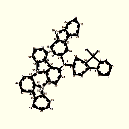 CC1(C)c2ccccc2-c2ccc(N(c3ccc4oc5ccccc5c4c3)c3ccc4c5c3c3ccccc3n5c3cccc5c6ccccc6n4c53)cc21